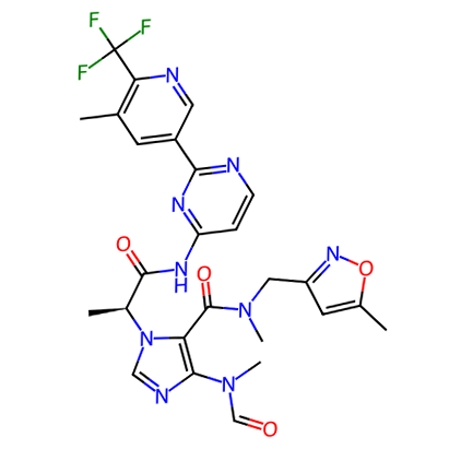 Cc1cc(CN(C)C(=O)c2c(N(C)C=O)ncn2[C@@H](C)C(=O)Nc2ccnc(-c3cnc(C(F)(F)F)c(C)c3)n2)no1